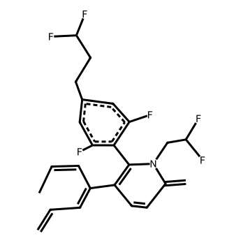 C=C/C=C(\C=C/C)C1=C(c2c(F)cc(CCC(F)F)cc2F)N(CC(F)F)C(=C)C=C1